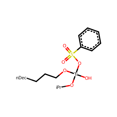 CCCCCCCCCCCCC[O][Ti]([OH])([O]C(C)C)[O]S(=O)(=O)c1ccccc1